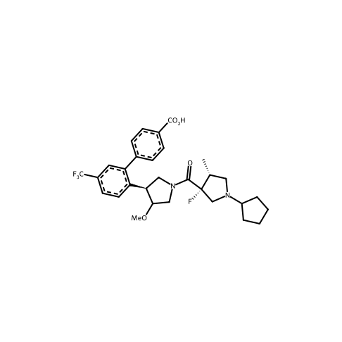 COC1CN(C(=O)[C@]2(F)CN(C3CCCC3)C[C@H]2C)C[C@@H]1c1ccc(C(F)(F)F)cc1-c1ccc(C(=O)O)cc1